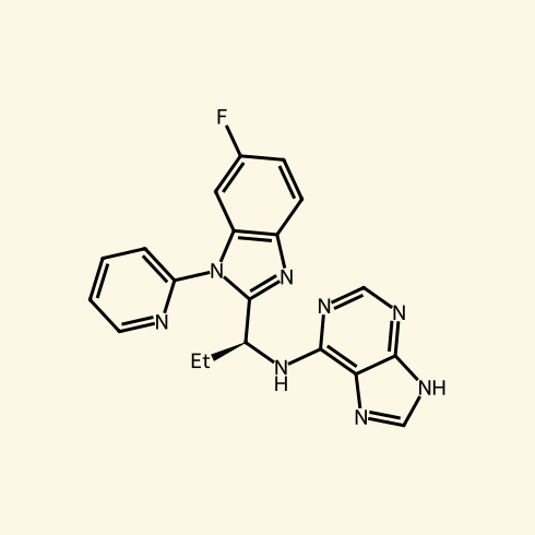 CC[C@H](Nc1ncnc2[nH]cnc12)c1nc2ccc(F)cc2n1-c1ccccn1